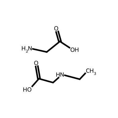 CCNCC(=O)O.NCC(=O)O